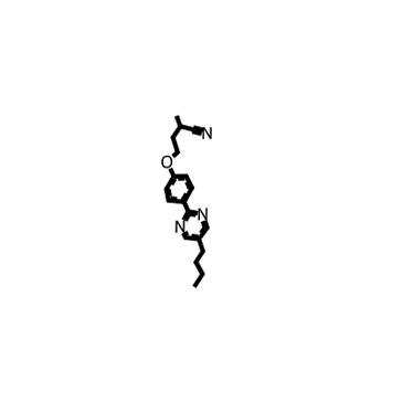 CCCCc1cnc(-c2ccc(OCCC(C)C#N)cc2)nc1